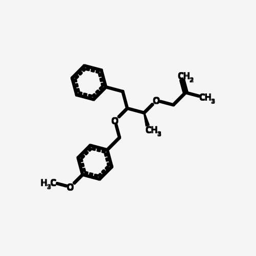 C=C(C)CO[C@@H](C)C(Cc1ccccc1)OCc1ccc(OC)cc1